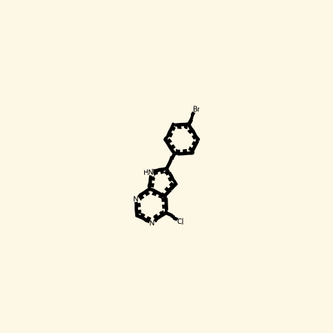 Clc1ncnc2[nH]c(-c3ccc(Br)cc3)cc12